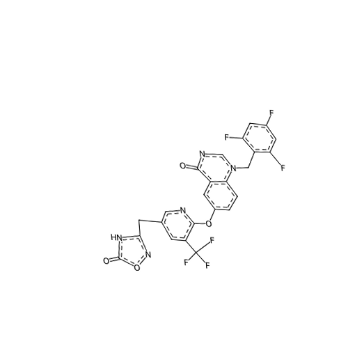 O=c1[nH]c(Cc2cnc(Oc3ccc4c(c3)c(=O)ncn4Cc3c(F)cc(F)cc3F)c(C(F)(F)F)c2)no1